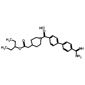 CCC(CC)OC(=O)CC1CCN(C(=O)c2ccc(-c3ccc(C(=N)N)cc3)cc2)CC1.Cl